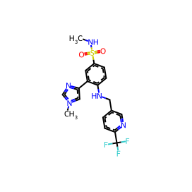 CNS(=O)(=O)c1ccc(NCc2ccc(C(F)(F)F)nc2)c(-c2cn(C)cn2)c1